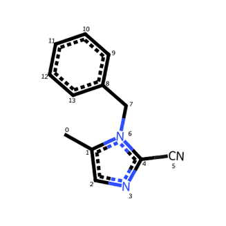 Cc1cnc(C#N)n1Cc1ccccc1